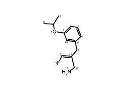 CC(C)Oc1cccc(CC(=CF)CN)c1